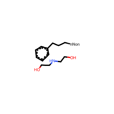 CCCCCCCCCCCCc1ccccc1.OCCNCCO